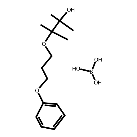 CC(C)(O)C(C)(C)OCCCOc1ccccc1.OB(O)O